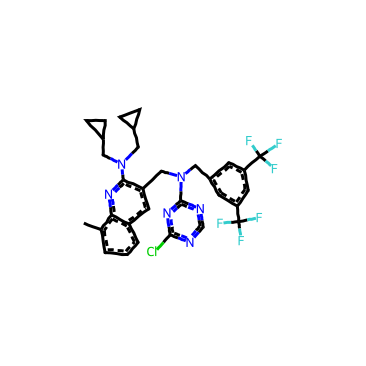 Cc1cccc2cc(CN(Cc3cc(C(F)(F)F)cc(C(F)(F)F)c3)c3ncnc(Cl)n3)c(N(CC3CC3)CC3CC3)nc12